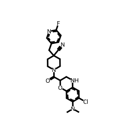 CN(C)c1cc2c(cc1Cl)NCC(C(=O)N1CCC(C#N)(Cc3ccc(F)nc3)CC1)O2